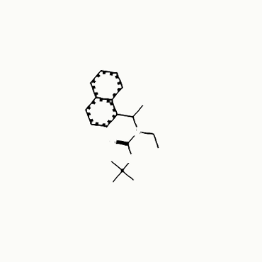 CCN(C(=O)OC(C)(C)C)C(C)c1cccc2ccccc12